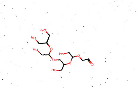 O=CCOC(CO)OC(CO)COC(CO)OC(CO)CO